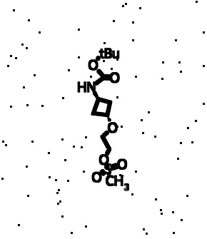 CC(C)(C)OC(=O)N[C@H]1C[C@H](OCCOS(C)(=O)=O)C1